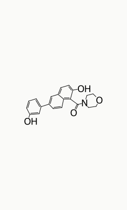 O=C(c1c(O)ccc2cc(-c3cccc(O)c3)ccc12)N1CCOCC1